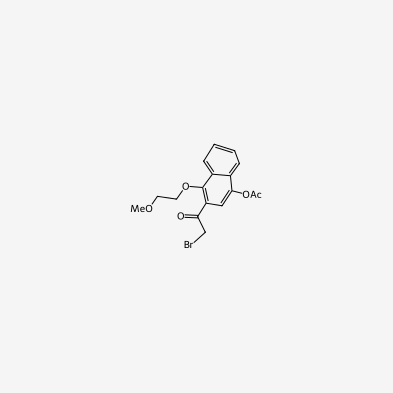 COCCOc1c(C(=O)CBr)cc(OC(C)=O)c2ccccc12